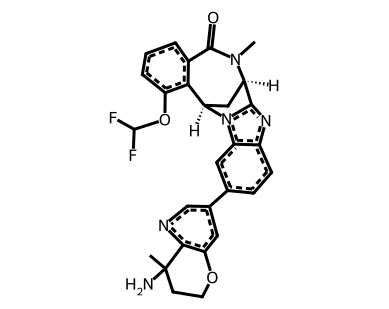 CN1C(=O)c2cccc(OC(F)F)c2[C@H]2C[C@@H]1c1nc3ccc(-c4cnc5c(c4)OCCC5(C)N)cc3n12